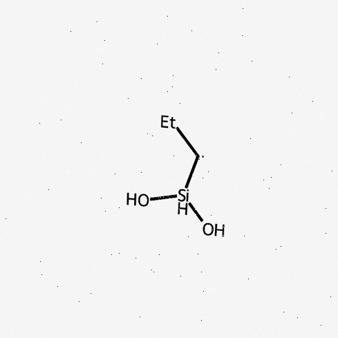 CC[CH][SiH](O)O